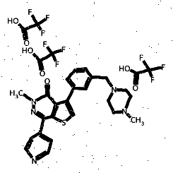 CN1CCN(Cc2cccc(-c3csc4c(-c5ccncc5)nn(C)c(=O)c34)c2)CC1.O=C(O)C(F)(F)F.O=C(O)C(F)(F)F.O=C(O)C(F)(F)F